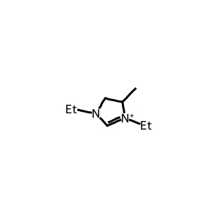 CCN1C=[N+](CC)C(C)C1